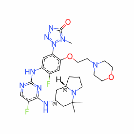 Cn1c(=O)nnn1-c1cc(Nc2ncc(F)c(N[C@@H]3C[C@@H]4CCCN4C(C)(C)C3)n2)c(F)cc1OCCN1CCOCC1